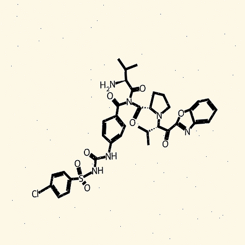 CC(C)[C@H](N)C(=O)N(C(=O)c1ccc(NC(=O)NS(=O)(=O)c2ccc(Cl)cc2)cc1)C(=O)[C@@H]1CCCN1[C@H](C(=O)c1nc2ccccc2o1)C(C)C